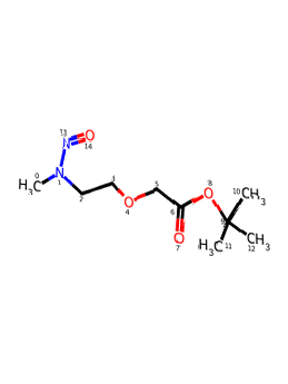 CN(CCOCC(=O)OC(C)(C)C)N=O